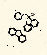 OC(Cc1ccccc1)(Oc1ccccc1)c1ccccc1.c1ccc2c(c1)Cc1ccccc1-2